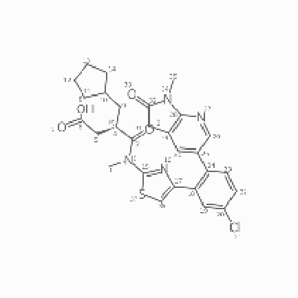 CN(C(=O)[C@@H](CC(=O)O)CC1CCCC1)c1nc(-c2cc(Cl)ccc2-c2cnc3c(c2)CC(=O)N3C)cs1